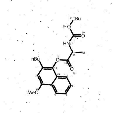 CCCCc1cc(OC)c2ccccc2c1OC(=O)[C@H](C)NC(=O)OC(C)(C)C